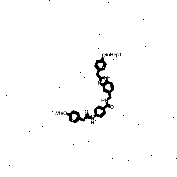 CCCCCCCOc1ccc(Cc2nc3cc(CNC(=O)C4=CCC(NC(=O)Cc5ccc(OC)cc5)C=C4)ccc3[nH]2)cc1